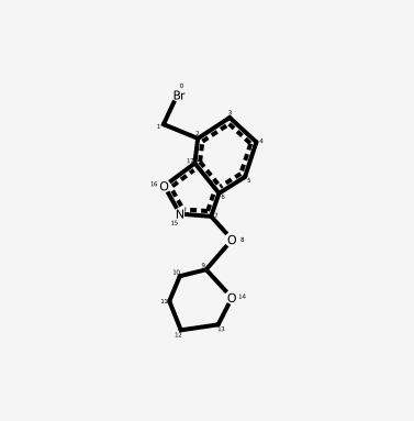 BrCc1cccc2c(OC3CCCCO3)noc12